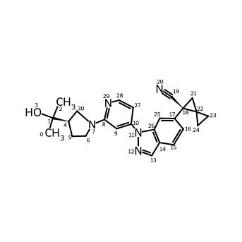 CC(C)(O)[C@@H]1CCN(c2cc(-n3ncc4ccc([C@]5(C#N)CC56CC6)cc43)ccn2)C1